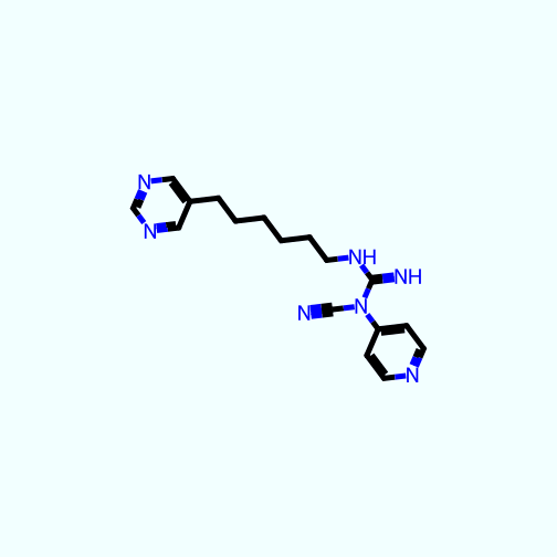 N#CN(C(=N)NCCCCCCc1cncnc1)c1ccncc1